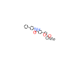 COC(=O)c1ccc(-c2ccc(C(=O)Nc3ccc(-c4ccccc4)cc3)cc2)o1